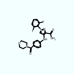 NC(=O)c1nn(-c2c(F)cccc2F)cc1Nc1ccc(C(=O)N2CCOCC2)cc1